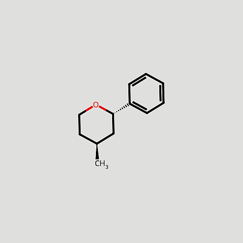 C[C@H]1CCO[C@H](c2ccccc2)C1